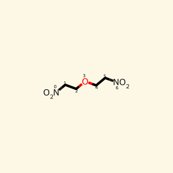 O=[N+]([O-])CCOCC[N+](=O)[O-]